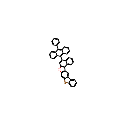 c1ccc(-c2c3ccccc3c(-c3cc4oc5cc6sc7ccccc7c6cc5c4c4ccccc34)c3ccccc23)cc1